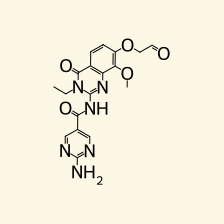 CCn1c(NC(=O)c2cnc(N)nc2)nc2c(OC)c(OCC=O)ccc2c1=O